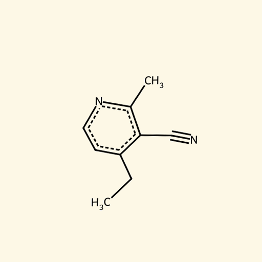 CCc1ccnc(C)c1C#N